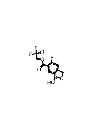 O=C(OCC(F)(F)Cl)c1cc2c(cc1F)COB2O